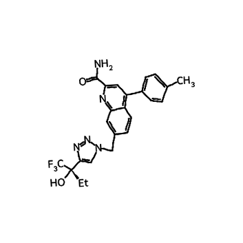 CC[C@](O)(c1cn(Cc2ccc3c(-c4ccc(C)cc4)cc(C(N)=O)nc3c2)nn1)C(F)(F)F